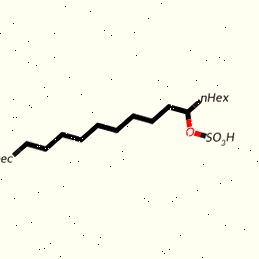 CCCCCCCCCCCCCCCCCCCC(CCCCCC)OS(=O)(=O)O